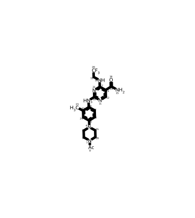 CC(=O)N1CCN(c2ccc(Nc3ncc(C(N)=O)c(NCC(F)(F)F)n3)c(C)c2)CC1